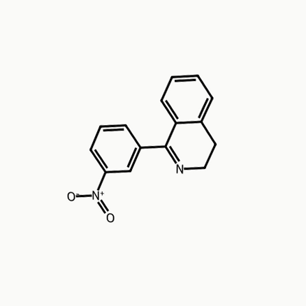 O=[N+]([O-])c1cccc(C2=NCCc3ccccc32)c1